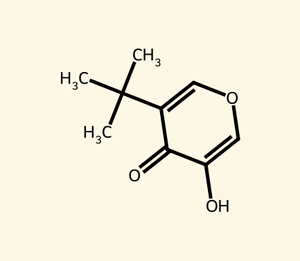 CC(C)(C)c1cocc(O)c1=O